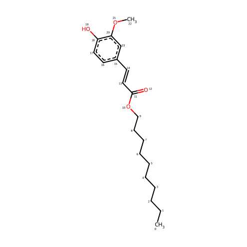 CCCCCCCCCCOC(=O)C=Cc1ccc(O)c(OC)c1